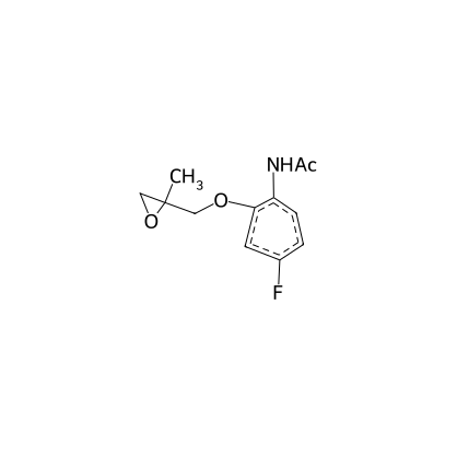 CC(=O)Nc1ccc(F)cc1OCC1(C)CO1